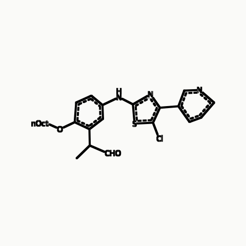 CCCCCCCCOc1ccc(Nc2nc(-c3cccnc3)c(Cl)s2)cc1C(C)C=O